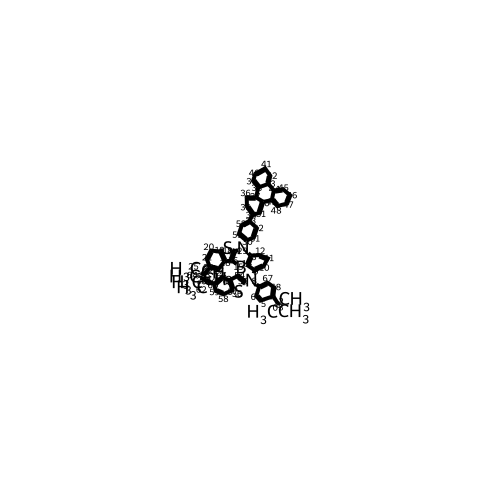 CC(C)(C)c1ccc(N2c3cccc4c3B(c3c(sc5ccc(C(C)(C)C)cc35)N4c3ccc(-c4ccc5c6ccccc6c6ccccc6c5c4)cc3)c3c2sc2ccc(C(C)(C)C)cc32)cc1